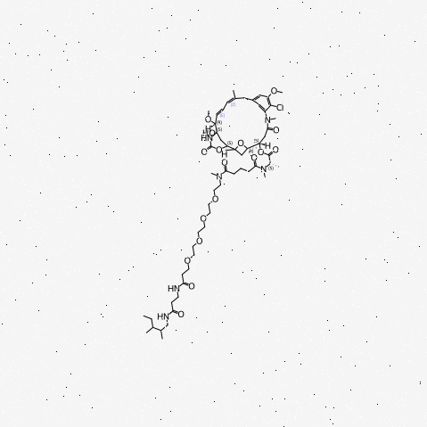 CCC(C)C(C)CNC(=O)CCNC(=O)CCOCCOCCOCCOCCN(C)C(=O)CCCC(=O)N(C)[C@@H](C)C(=O)O[C@H]1CC(=O)N(C)c2cc(cc(OC)c2Cl)C/C(C)=C\C=C\[C@@H](OC)[C@@]2(O)C[C@H](OC(=O)N2)C2(C)C[C@@]1(C)O2